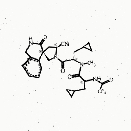 CN(C(=O)[C@H](CC1CC1)NC(=O)C(F)(F)F)[C@@H](CC1CC1)C(=O)N1C[C@]2(C[C@H]1C#N)C(=O)NCc1ccccc12